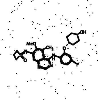 COc1c(N=S2(=O)CCC2)cc2ncnc(Nc3ccc(F)cc3O[C@H]3CC[C@H](O)CC3)c2c1C